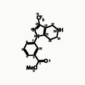 COC(=O)c1cccc(-n2nc(C(F)(F)F)c3c2CCNC3)c1